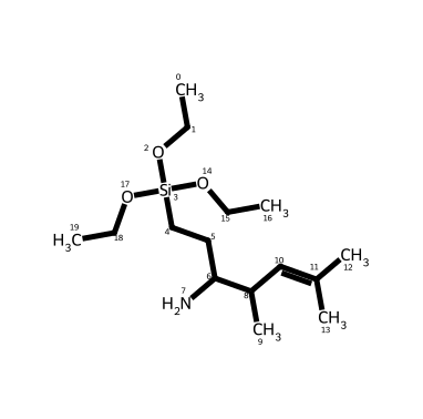 CCO[Si](CCC(N)C(C)C=C(C)C)(OCC)OCC